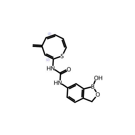 C=C1/C=C\C=CS/C(NC(=O)Nc2ccc3c(c2)B(O)OC3)=C\1